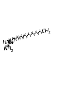 CCCCCCCCCCCCCCCC=CC1CNC(CCN)=N1